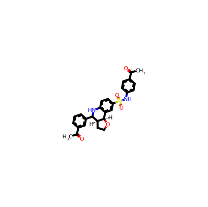 CC(=O)c1ccc(NS(=O)(=O)c2ccc3c(c2)[C@H]2OCC[C@H]2C(c2cccc(C(C)=O)c2)N3)cc1